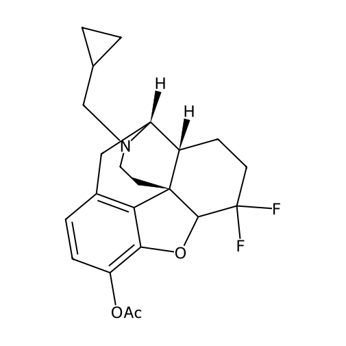 CC(=O)Oc1ccc2c3c1OC1C(F)(F)CC[C@H]4[C@@H](C2)N(CC2CC2)CC[C@]314